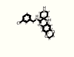 Clc1cccc(CNC2=Nc3cc4c(cc3NC23CCNCC3)OCCO4)c1